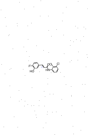 O=C(/C=C/c1ccc(F)c(O)c1)Nc1cccc(Cl)c1Cl